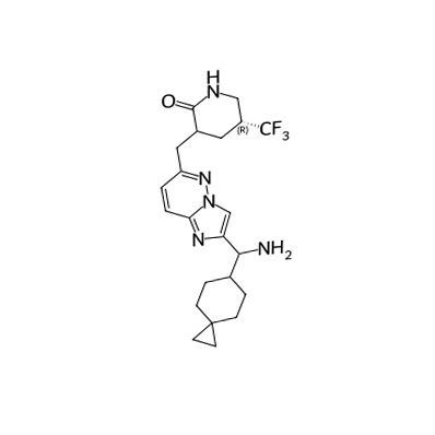 NC(c1cn2nc(CC3C[C@@H](C(F)(F)F)CNC3=O)ccc2n1)C1CCC2(CC1)CC2